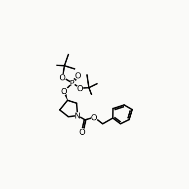 CC(C)(C)OP(=O)(O[C@@H]1CCN(C(=O)OCc2ccccc2)C1)OC(C)(C)C